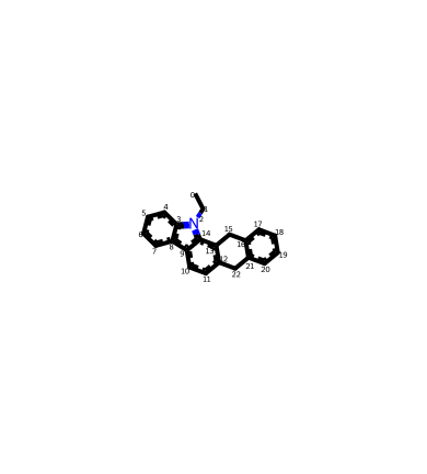 CCn1c2ccccc2c2ccc3c(c21)Cc1ccccc1C3